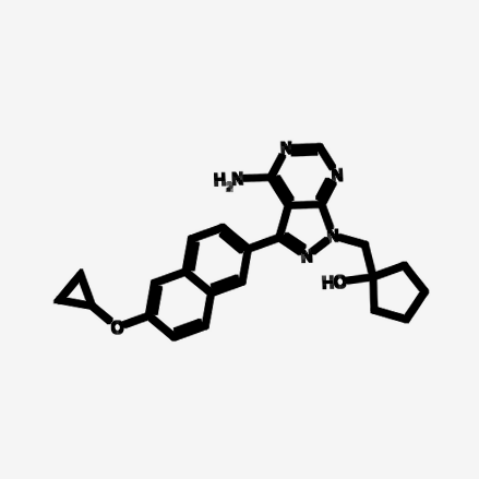 Nc1ncnc2c1c(-c1ccc3cc(OC4CC4)ccc3c1)nn2CC1(O)CCCC1